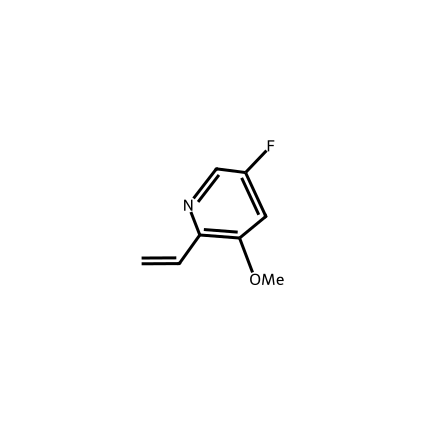 C=Cc1ncc(F)cc1OC